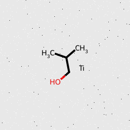 CC(C)CO.[Ti]